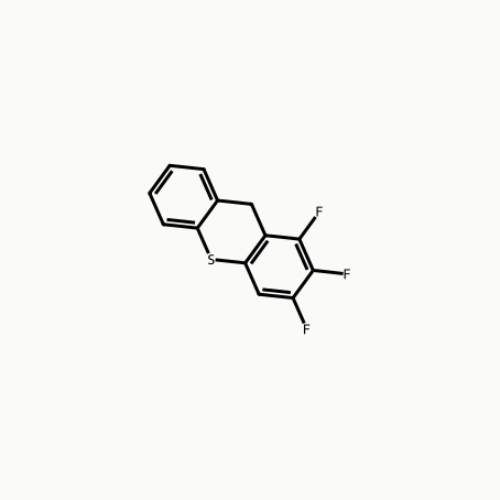 Fc1cc2c(c(F)c1F)Cc1ccccc1S2